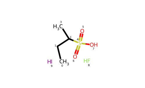 CCC(C)S(=O)(=O)O.F.I